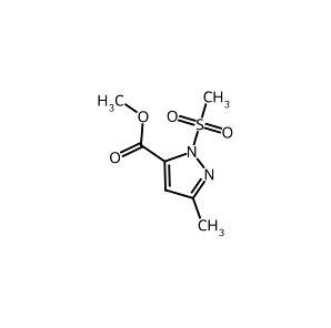 COC(=O)c1cc(C)nn1S(C)(=O)=O